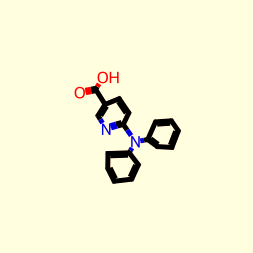 O=C(O)c1ccc(N(c2ccccc2)c2ccccc2)nc1